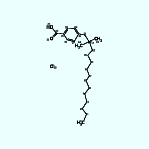 CCCCCCCCCCCC[N+](C)(C)Cc1ccc(C(=O)O)cc1.[Cl-]